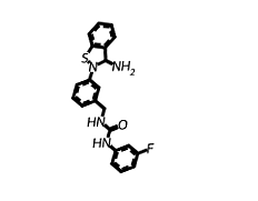 NC1c2ccccc2SN1c1cccc(CNC(=O)Nc2cccc(F)c2)c1